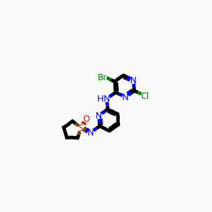 O=S1(=Nc2cccc(Nc3nc(Cl)ncc3Br)n2)CCCC1